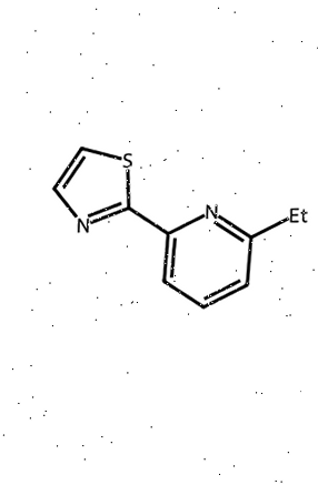 CCc1cccc(-c2nccs2)n1